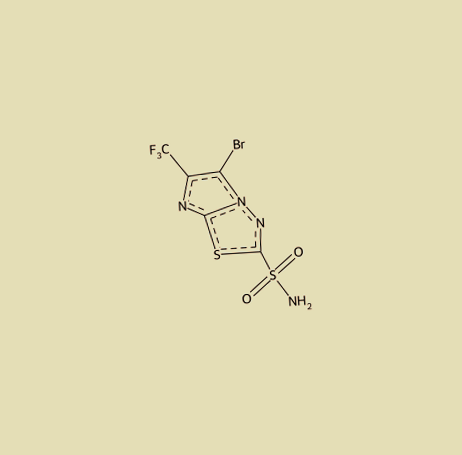 NS(=O)(=O)c1nn2c(Br)c(C(F)(F)F)nc2s1